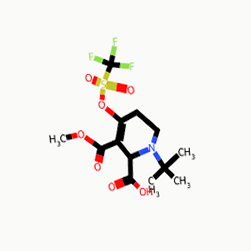 COC(=O)C1=C(OS(=O)(=O)C(F)(F)F)CCN(C(C)(C)C)C1C(=O)O